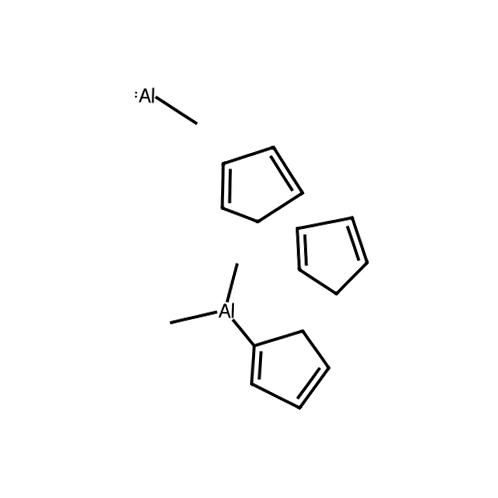 C1=CCC=C1.C1=CCC=C1.[CH3][Al].[CH3][Al]([CH3])[C]1=CC=CC1